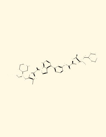 Cc1nc(C(=O)n2ccc3c(-c4cccc(NC(=O)c5nc(C)c(N(C)[C@H](C(=O)O)C6CCOCC6)s5)c4)cccc32)sc1CN(CC(=O)O)C1CCOCC1